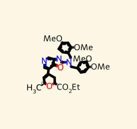 CCOC(=O)C1CC(c2cncc3nc(N(Cc4ccc(OC)cc4OC)Cc4ccc(OC)cc4OC)oc23)=C[C@H](C)O1